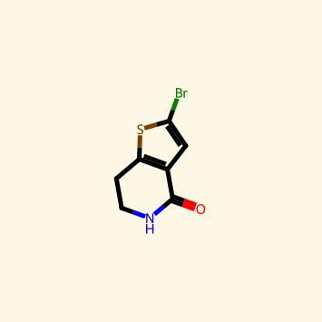 O=C1NCCc2sc(Br)cc21